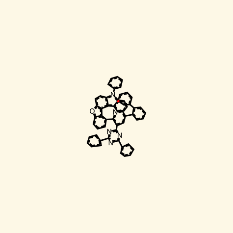 c1ccc(-c2nc(-c3ccccc3)nc(-c3cc(-c4ccccc4-c4ccccc4)cnc3-c3cccc4oc5ccc6c(c7ccccc7n6-c6ccccc6)c5c34)n2)cc1